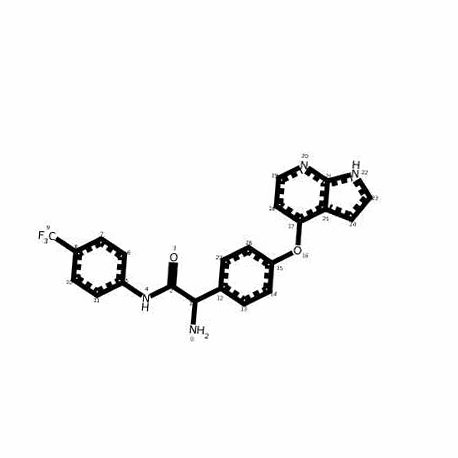 NC(C(=O)Nc1ccc(C(F)(F)F)cc1)c1ccc(Oc2ccnc3[nH]ccc23)cc1